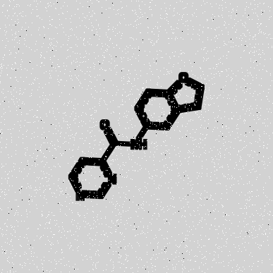 O=C(Nc1ccc2occc2c1)c1ccncn1